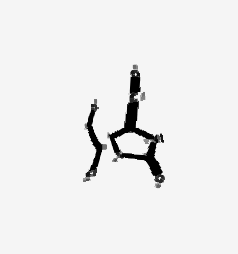 O=C=C1CSC(=O)N1.[O]CCCl